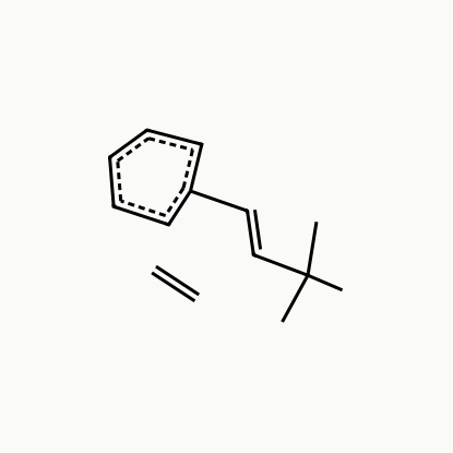 C=C.CC(C)(C)C=Cc1ccccc1